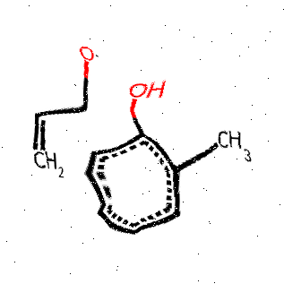 C=CC[O].Cc1ccccc1O